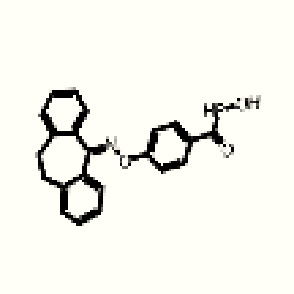 O=C(PO)c1ccc(ON=C2c3ccccc3CCc3ccccc32)cc1